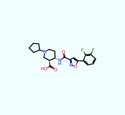 O=C(N[C@H]1CCN(C2CCCC2)C[C@@H]1C(=O)O)c1cc(-c2cccc(F)c2F)on1